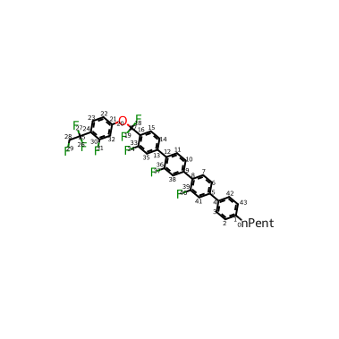 CCCCCc1ccc(-c2ccc(-c3ccc(-c4ccc(C(F)(F)Oc5ccc(C(F)(F)CF)c(F)c5)c(F)c4)c(F)c3)c(F)c2)cc1